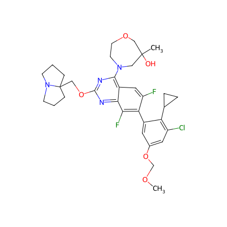 COCOc1cc(Cl)c(C2CC2)c(-c2c(F)cc3c(N4CCOCC(C)(O)C4)nc(OCC45CCCN4CCC5)nc3c2F)c1